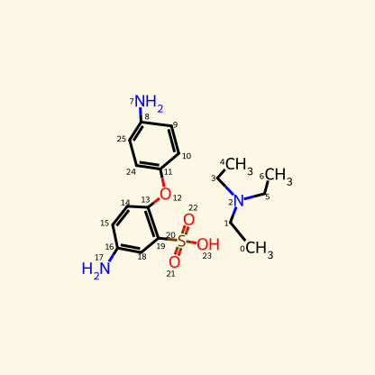 CCN(CC)CC.Nc1ccc(Oc2ccc(N)cc2S(=O)(=O)O)cc1